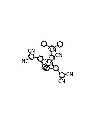 N#Cc1cc(C#N)cc(-c2ccc3c(c2)c2ccccc2n3-c2cc(C#N)c(-c3nc(-c4ccccc4)cc(-c4ccccc4)n3)cc2-n2c3ccccc3c3cc(-c4cc(C#N)cc(C#N)c4)ccc32)c1